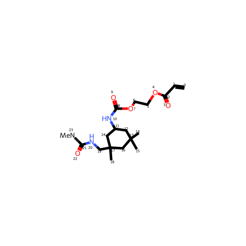 C=CC(=O)OCCOC(=O)NC1CC(C)(C)CC(C)(CNC(=O)NC)C1